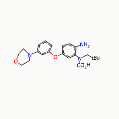 CC(C)(C)CN(C(=O)O)c1cc(Oc2cccc(N3CCOCC3)c2)ccc1N